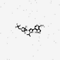 CC(C)n1nc(-c2cnc(N)c3cn[nH]c23)cc1[C@@H]1[C@@H]2CN(CC(F)(F)F)C[C@@H]21